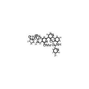 [CH2]c1ccc(C(=O)Nc2cccc(-c3nccc(-c4ccc(CN(C[C@@H]5CCC(=O)N5)C(=O)OC(C)(C)C)c(OC)n4)c3Cl)c2C)nc1